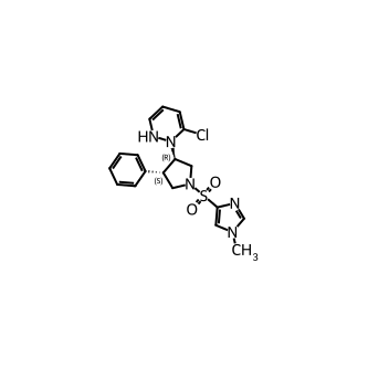 Cn1cnc(S(=O)(=O)N2C[C@H](c3ccccc3)[C@@H](N3NC=CC=C3Cl)C2)c1